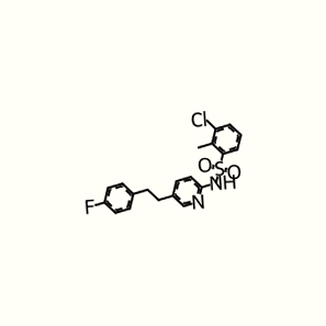 Cc1c(Cl)cccc1S(=O)(=O)Nc1ccc(CCc2ccc(F)cc2)cn1